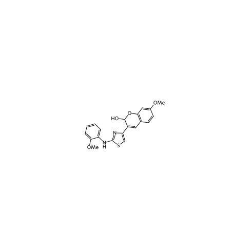 COc1ccc2c(c1)OC(O)C(c1csc(Nc3ccccc3OC)n1)=C2